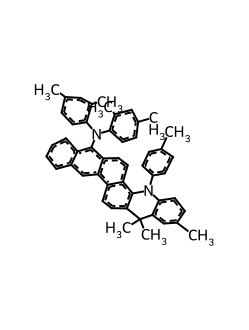 Cc1ccc(N2c3ccc(C)cc3C(C)(C)c3ccc4c(ccc5c(N(c6ccc(C)cc6C)c6ccc(C)cc6C)c6ccccc6cc54)c32)cc1